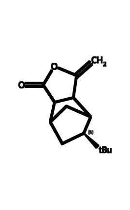 C=C1OC(=O)C2C3CC(C12)[C@@H](C(C)(C)C)C3